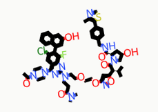 CC(=O)N1CCN(c2nc(N(CCOCCOc3cc([C@H](C(=O)N4C[C@H](O)C[C@H]4C(=O)NCc4ccc(-c5scnc5C)cc4)C(C)C)on3)CCC(=O)N(C)C)nc3c(F)c(-c4cc(O)cc5ccccc45)c(Cl)cc23)CC1